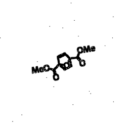 COC(=O)C12C=CC(C(=O)OC)(CC1)O2